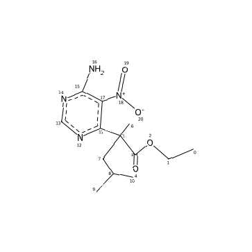 CCOC(=O)C(C)(CC(C)C)c1ncnc(N)c1[N+](=O)[O-]